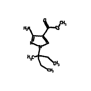 Bc1nn(C(C)(CC)CC)cc1C(=O)OC